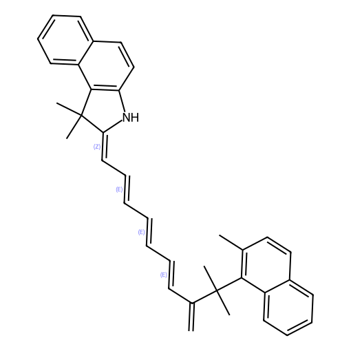 C=C(/C=C/C=C/C=C/C=C1\Nc2ccc3ccccc3c2C1(C)C)C(C)(C)c1c(C)ccc2ccccc12